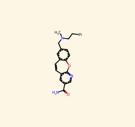 CC(C)CCN(C)Cc1ccc2c(c1)C=Cc1cc(C(N)=O)cnc1O2